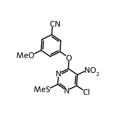 COc1cc(C#N)cc(Oc2nc(SC)nc(Cl)c2[N+](=O)[O-])c1